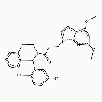 COc1cc(OC)c2ccn(CCC(=O)N3CCc4ccccc4C3c3cc(Cl)ccc3O)c2n1